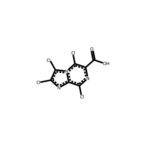 O=C(O)c1nc(Cl)c2nc(Cl)c(Cl)n2c1Cl